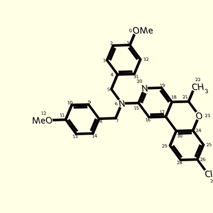 COc1ccc(CN(Cc2ccc(OC)cc2)c2cc3c(cn2)C(C)Oc2cc(Cl)ccc2-3)cc1